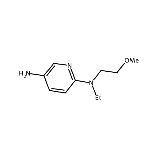 CCN(CCOC)c1ccc(N)cn1